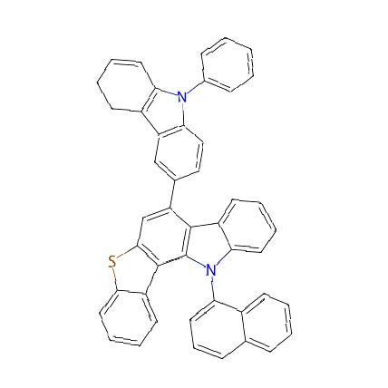 C1=Cc2c(c3cc(-c4cc5sc6ccccc6c5c5c4c4ccccc4n5-c4cccc5ccccc45)ccc3n2-c2ccccc2)CC1